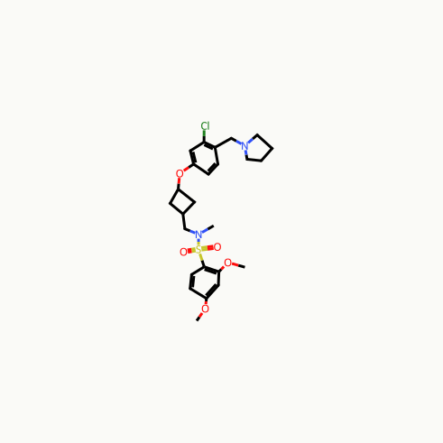 COc1ccc(S(=O)(=O)N(C)CC2CC(Oc3ccc(CN4CCCC4)c(Cl)c3)C2)c(OC)c1